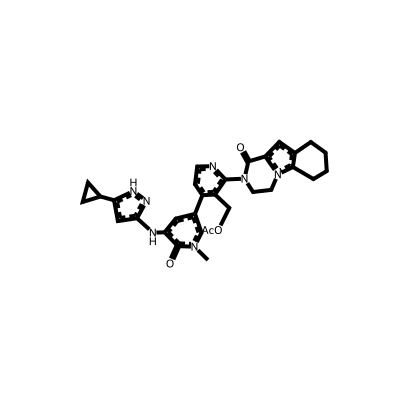 CC(=O)OCc1c(-c2cc(Nc3cc(C4CC4)[nH]n3)c(=O)n(C)c2)ccnc1N1CCn2c(cc3c2CCCC3)C1=O